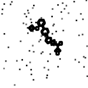 O=C(C1COC1)N1CC2(CC[C@@H](N3CCC(c4ccccc4OC4CCC4)CC3)C2)C1